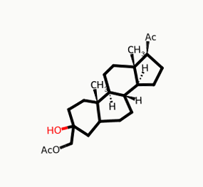 CC(=O)OCC1(O)CC[C@@]2(C)C(CC[C@H]3[C@@H]4CC[C@H](C(C)=O)[C@@]4(C)CC[C@@H]32)C1